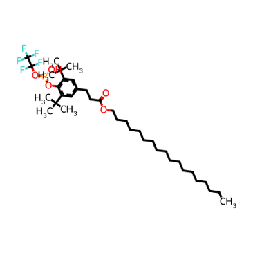 CCCCCCCCCCCCCCCCCCOC(=O)CCc1cc(C(C)(C)C)c(OP(O)OC(F)(F)C(F)(F)F)c(C(C)(C)C)c1